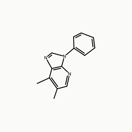 Cc1cnc2c(ncn2-c2ccccc2)c1C